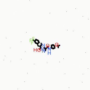 Cc1nc2c(C(=O)Nc3ccc(OC(C)C)cc3)cnn2c(O)c1Cc1cccc(C(F)(F)F)c1